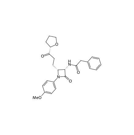 COc1ccc(N2C(=O)[C@@H](NC(=O)Cc3ccccc3)[C@H]2CCC(=O)[C@@H]2CCCO2)cc1